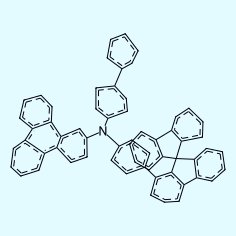 c1ccc(-c2ccc(N(c3ccc(-c4cccc5c4C4(c6ccccc6-c6ccccc64)c4ccccc4-5)cc3)c3ccc4c5ccccc5c5ccccc5c4c3)cc2)cc1